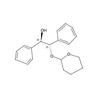 O[C@H](c1ccccc1)[C@@H](OC1CCCCO1)c1ccccc1